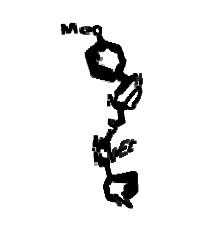 CCn1c(SCc2nc(-c3ccc(OC)cc3)no2)nnc1-c1ccncc1